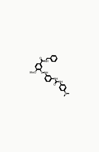 COc1ccc(C(=O)NCc2ccccc2)cc1SNc1cccc(NC(=O)Nc2ccc(N(C)C)cc2)c1